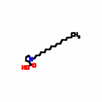 CCCCCCCCCCCCCCCCN1CCCC1C(=O)O